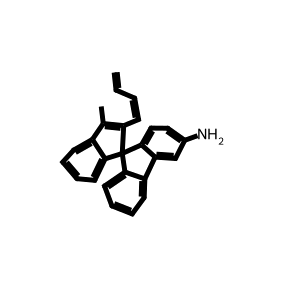 C=C/C=C\C1=C(C)c2ccccc2C12c1ccccc1-c1cc(N)ccc12